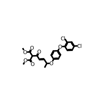 COC(=O)C(C(=O)C=CC(C)Oc1ccc(Oc2ccc(Cl)cc2Cl)cc1)C(=O)OC